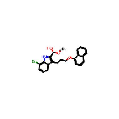 CC(C)(C)OC(O)c1[nH]c2c(Br)cccc2c1CCCOc1cccc2ccccc12